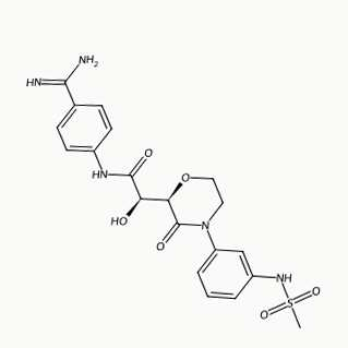 CS(=O)(=O)Nc1cccc(N2CCO[C@H]([C@@H](O)C(=O)Nc3ccc(C(=N)N)cc3)C2=O)c1